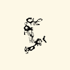 CNC(=O)c1cc(Oc2ccc(NC(=O)Nc3cn(C(C)C)nc3-c3ccc4scnc4c3)c(F)c2)ccn1